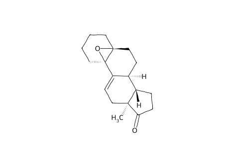 C[C@]12CC=C3[C@@H](CC[C@@]45CCCC[C@@]34O5)[C@@H]1CCC2=O